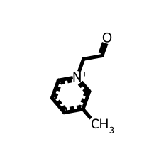 Cc1ccc[n+](CC=O)c1